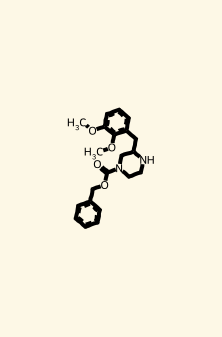 COc1cccc(CC2CN(C(=O)OCc3ccccc3)CCN2)c1OC